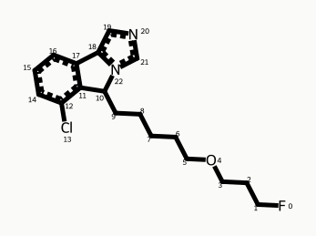 FCCCOCCCCCC1c2c(Cl)cccc2-c2cncn21